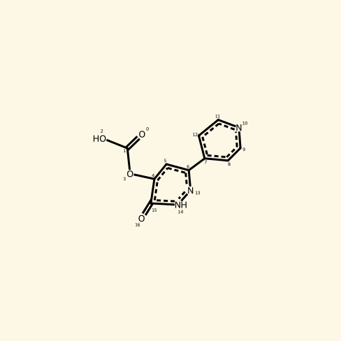 O=C(O)Oc1cc(-c2ccncc2)n[nH]c1=O